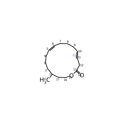 CC1CCCC=CCCC/C=C/CC(=O)OCC1